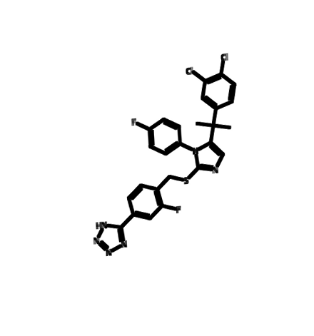 CC(C)(c1ccc(Cl)c(Cl)c1)c1cnc(SCc2ccc(-c3nnn[nH]3)cc2F)n1-c1ccc(F)cc1